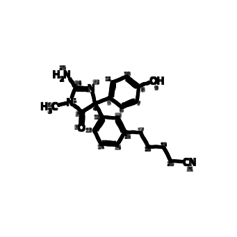 CN1C(=O)C(c2ccc(O)cc2)(c2cccc(CCCCC#N)c2)N=C1N